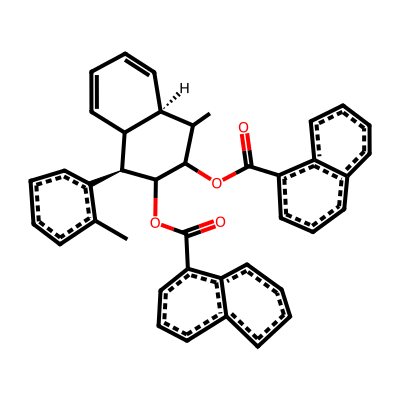 Cc1ccccc1[C@@H]1C(OC(=O)c2cccc3ccccc23)C(OC(=O)c2cccc3ccccc23)C(C)[C@@H]2C=CC=CC21